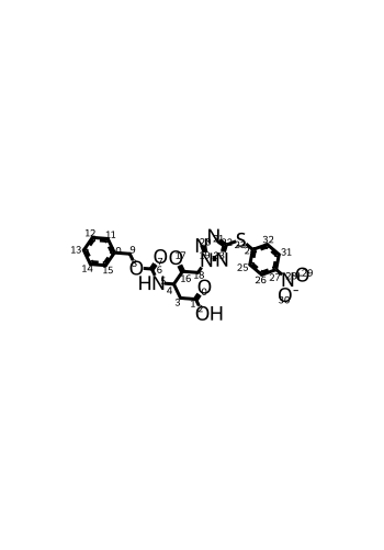 O=C(O)CC(NC(=O)OCc1ccccc1)C(=O)Cn1nnc(Sc2ccc([N+](=O)[O-])cc2)n1